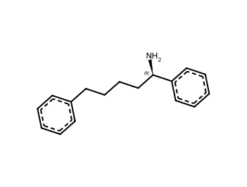 N[C@H](CCCCc1ccccc1)c1ccccc1